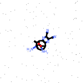 C=C1/C=C\C=C/C2c3nc(C#N)c(C#N)nc3C1c1cc(N)cc(N)c12